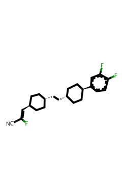 N#C/C(F)=C/[C@H]1CC[C@H](CC[C@H]2CC[C@H](c3ccc(F)c(F)c3)CC2)CC1